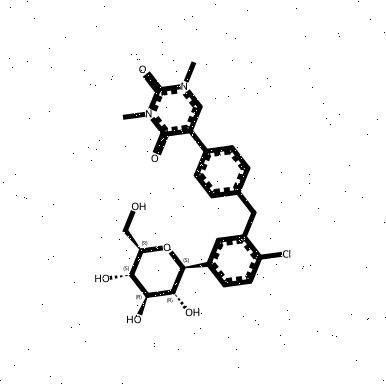 Cn1cc(-c2ccc(Cc3cc([C@@H]4O[C@H](CO)[C@@H](O)[C@H](O)[C@H]4O)ccc3Cl)cc2)c(=O)n(C)c1=O